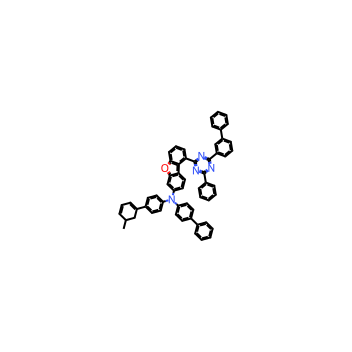 CC1C=CC=C(c2ccc(N(c3ccc(-c4ccccc4)cc3)c3ccc4c(c3)oc3cccc(-c5nc(-c6ccccc6)nc(-c6cccc(-c7ccccc7)c6)n5)c34)cc2)C1